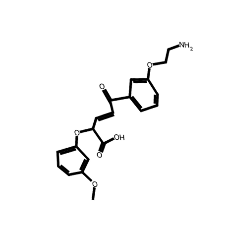 COc1cccc(OC(C=CC(=O)c2cccc(OCCN)c2)C(=O)O)c1